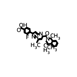 CCc1cc(C(=O)N2CC(C)(C)c3ccccc3C2C)nc2cc(-c3ccc(C(=O)O)cc3F)nn12